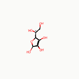 OC[C@H](O)C1OC(O)C(O)=C1O